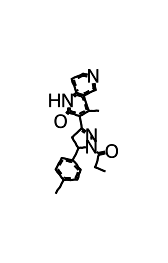 CCC(=O)N1N=C(c2c(C)c3cnccc3[nH]c2=O)CC1c1ccc(C)cc1